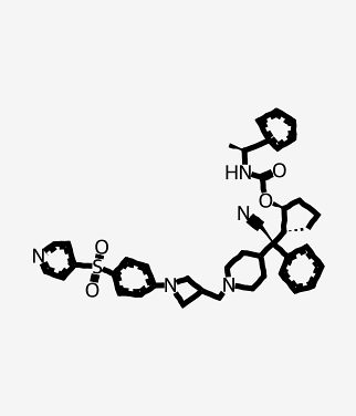 C[C@H](NC(=O)O[C@H]1CCC[C@@H]1[C@](C#N)(c1ccccc1)C1CCN(CC2CN(c3ccc(S(=O)(=O)c4ccncc4)cc3)C2)CC1)c1ccccc1